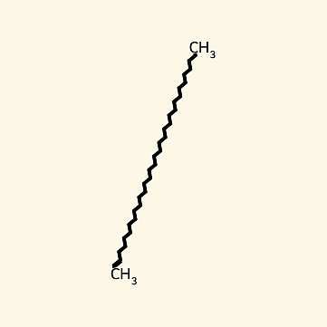 CC=CCCCCCCCCCCCCCCCCCCCCCCCCCCCCCCC